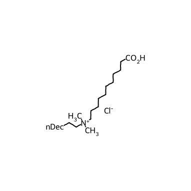 CCCCCCCCCCCC[N+](C)(C)CCCCCCCCCCC(=O)O.[Cl-]